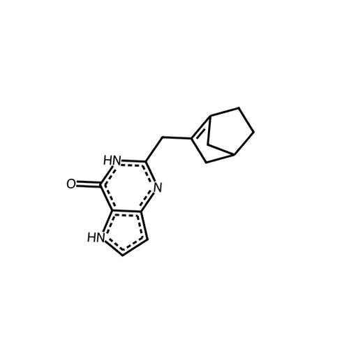 O=c1[nH]c(CC2=C3CCC(C3)C2)nc2cc[nH]c12